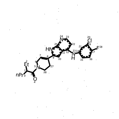 CCCC(CC)C(=O)N1CC=C(c2cc3c(Nc4ccc(F)c(Cl)c4)ccnc3[nH]2)CC1